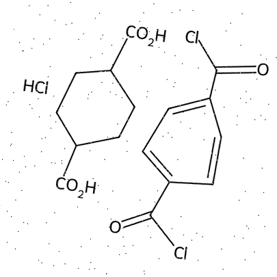 Cl.O=C(Cl)c1ccc(C(=O)Cl)cc1.O=C(O)C1CCC(C(=O)O)CC1